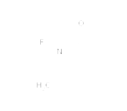 [CH2]C1CCC(=O)N1F